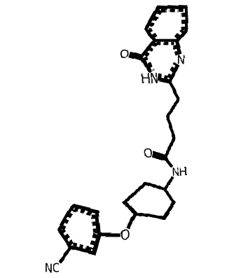 N#Cc1cccc(OC2CCC(NC(=O)CCCc3nc4ccccc4c(=O)[nH]3)CC2)c1